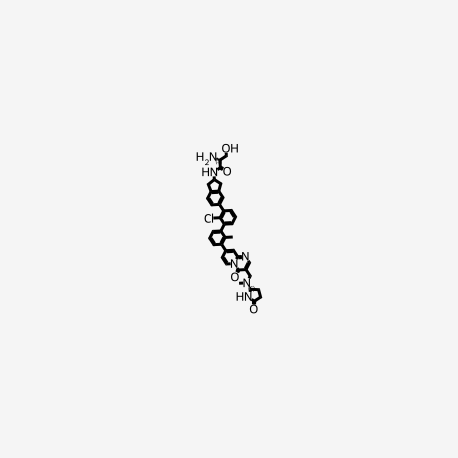 Cc1c(-c2ccn3c(=O)c(CN(C)[C@H]4CCC(=O)N4)cnc3c2)cccc1-c1cccc(-c2ccc3c(c2)CC(NC(=O)[C@@H](N)CO)C3)c1Cl